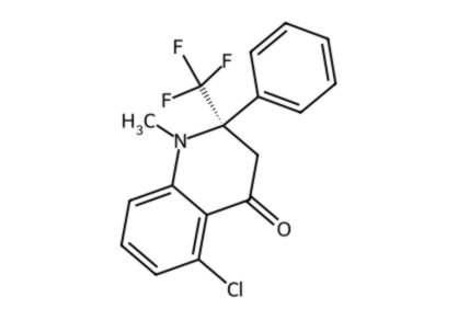 CN1c2cccc(Cl)c2C(=O)C[C@@]1(c1ccccc1)C(F)(F)F